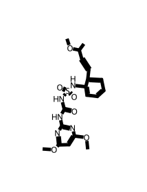 COc1cc(OC)nc(NC(=O)NS(=O)(=O)Nc2ccccc2C#CC(C)OC)n1